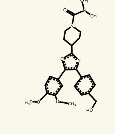 COc1ccc(-c2oc(C3CCN(C(=O)N(C)O)CC3)nc2-c2ccc(CO)cc2)cc1OC